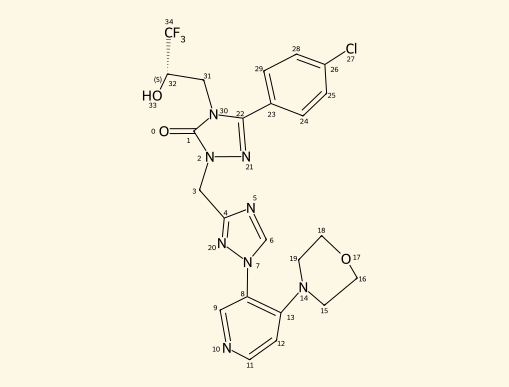 O=c1n(Cc2ncn(-c3cnccc3N3CCOCC3)n2)nc(-c2ccc(Cl)cc2)n1C[C@H](O)C(F)(F)F